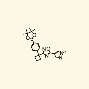 Cn1cc(-c2nc(C3(c4ccc(B5OC(C)(C)C(C)(C)O5)cc4)CCC3)no2)cn1